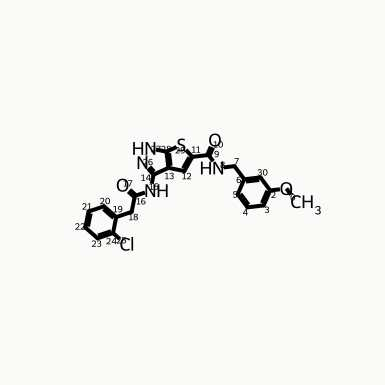 COc1cccc(CNC(=O)c2cc3c(NC(=O)Cc4ccccc4Cl)n[nH]c3s2)c1